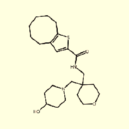 O=C(NCC1(CN2CCC(O)CC2)CCOCC1)c1cc2c(s1)CCCCCC2